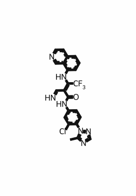 Cc1ncnn1-c1ccc(NC(=O)/C(C=N)=C(/Nc2cccc3ccncc23)C(F)(F)F)cc1Cl